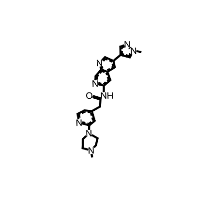 CN1CCN(c2cc(CC(=O)Nc3cc4cc(-c5cnn(C)c5)cnc4cn3)ccn2)CC1